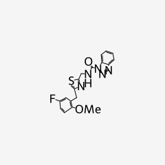 COc1ccc(F)cc1Cc1csc(CNC(=O)n2nnc3ccccc32)n1